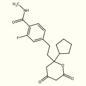 CNC(=O)c1ccc(CCC2(C3CCCC3)CC(=O)CC(=O)O2)cc1F